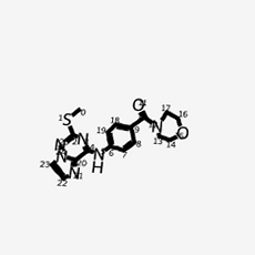 CSc1nc(Nc2ccc(C(=O)N3CCOCC3)cc2)c2nccn2n1